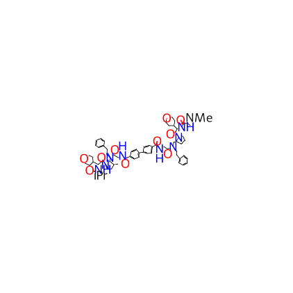 CN[C@@H](C)C(=O)N[C@H](C(=O)N1CC[C@H](C)[C@H]1CN(CCc1ccccc1)C(=O)CNC(=O)c1ccc(-c2ccc(C(=O)NCC(=O)N(CCc3ccccc3)C3[C@@H](C)CCN3C(=O)[C@@H](NC(=O)C(C)C)C3CCOCC3)cc2)cc1)C1CCOCC1